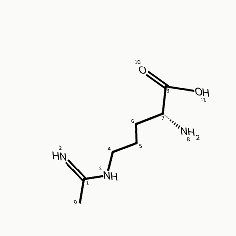 CC(=N)NCCC[C@@H](N)C(=O)O